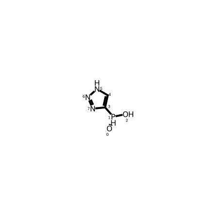 O=[PH](O)c1c[nH]nn1